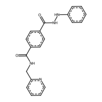 O=C(NCc1ccccn1)c1ccc(C(=O)NNc2ccccc2)cc1